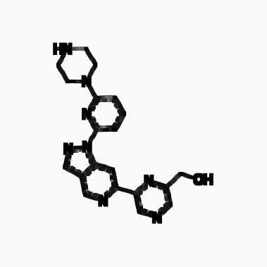 OCc1cncc(-c2cc3c(cn2)cnn3-c2cccc(N3CCNCC3)n2)n1